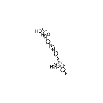 CCC(C(C)O)n1ncn(-c2ccc(N3CCN(c4ccc(SC[C@H]5CC[C@](Cn6cncn6)(c6ccc(F)cc6F)O5)cc4)CC3)cc2)c1=O